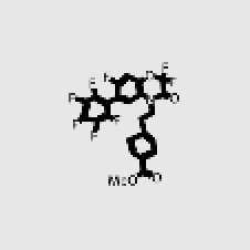 COC(=O)c1ccc(CCN2C(=O)C(F)(F)Oc3cc(F)c(-c4c(F)c(F)c(F)c(F)c4F)cc32)cc1